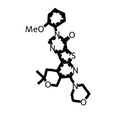 COc1ccccc1-n1cnc2c(sc3nc(N4CCOCC4)c4c(c32)CC(C)(C)OC4)c1=O